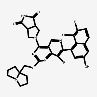 O=C1NC(=O)C2CN(c3nc(OCC45CCCN4CCC5)nc4c(F)c(-c5cc(O)cc6ccc(F)c(Cl)c56)ncc34)CC12